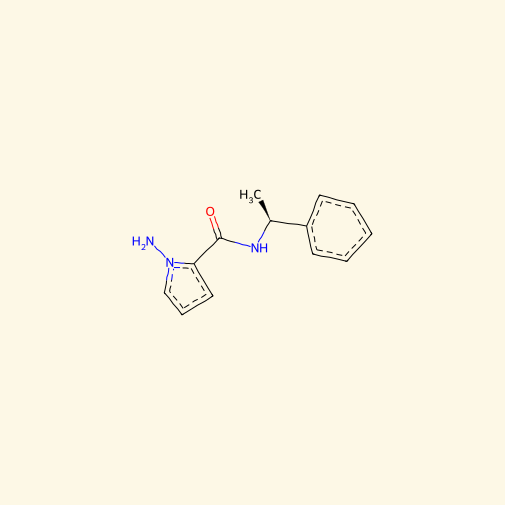 C[C@H](NC(=O)c1cccn1N)c1ccccc1